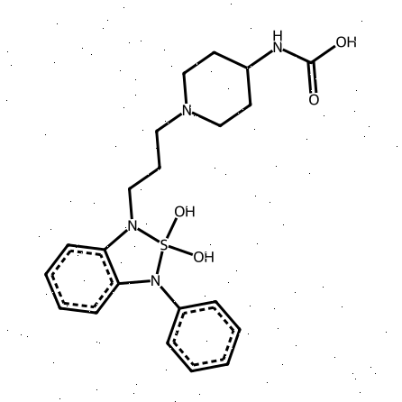 O=C(O)NC1CCN(CCCN2c3ccccc3N(c3ccccc3)S2(O)O)CC1